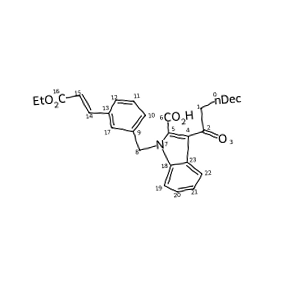 CCCCCCCCCCCC(=O)c1c(C(=O)O)n(Cc2cccc(/C=C/C(=O)OCC)c2)c2ccccc12